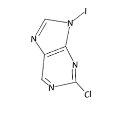 Clc1ncc2ncn(I)c2n1